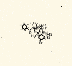 CC[Si](CC)(CC)c1cc(Br)nc(C2(C)C[SH](O)(=NC)N(CC(F)(F)F)C(NC(=O)c3ccccc3)=N2)c1F